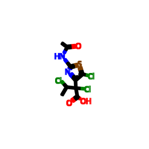 CC(=O)Nc1nc(C(Cl)(C(=O)O)C(C)Cl)c(Cl)s1